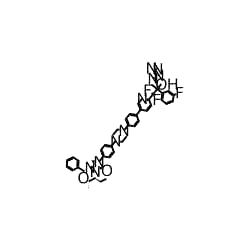 CC[C@@H]([C@H](C)OCc1ccccc1)n1ncn(-c2ccc(N3CCN(c4ccc(-c5ccc(C(F)(F)C(O)(Cn6cnnn6)c6cccc(F)c6)nc5)cc4)CC3)cc2)c1=O